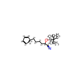 CC(C)(C)[Si](C)(C)OC(C#N)CCCCc1ccccc1